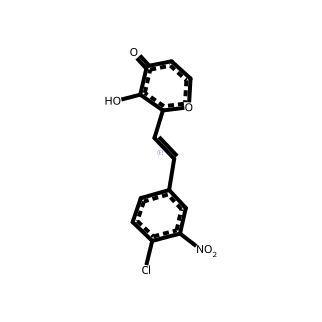 O=c1ccoc(/C=C/c2ccc(Cl)c([N+](=O)[O-])c2)c1O